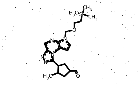 CC1CC(C=O)CC1c1nnc2cnc3c(ccn3COCC[Si](C)(C)C)n12